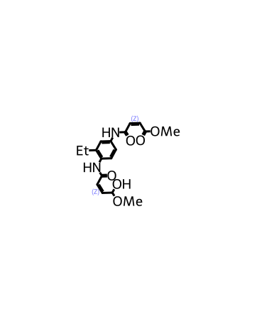 CCc1cc(NC(=O)/C=C\C(=O)OC)ccc1NC(=O)/C=C\C(O)OC